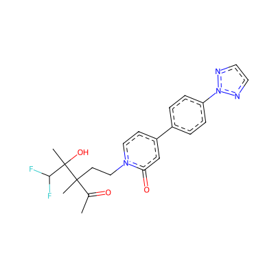 CC(=O)C(C)(CCn1ccc(-c2ccc(-n3nccn3)cc2)cc1=O)C(C)(O)C(F)F